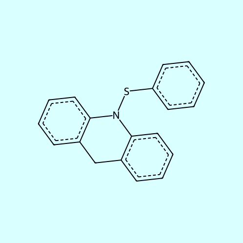 c1ccc(SN2c3ccccc3Cc3ccccc32)cc1